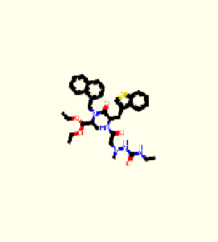 CCNC(=O)NN(C)CC(=O)NC(Cc1csc2ccccc12)C(=O)N(Cc1cccc2ccccc12)C(C)C(OCC)OCC